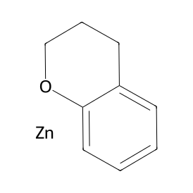 [Zn].c1ccc2c(c1)CCCO2